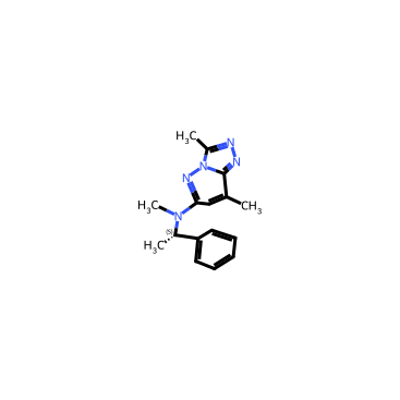 Cc1cc(N(C)[C@@H](C)c2ccccc2)nn2c(C)nnc12